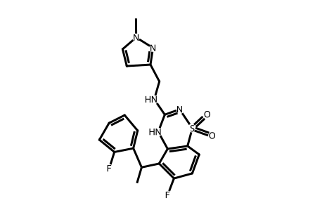 CC(c1ccccc1F)c1c(F)ccc2c1NC(NCc1ccn(C)n1)=NS2(=O)=O